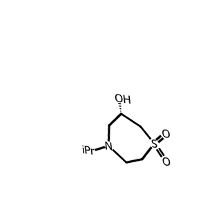 CC(C)N1CCS(=O)(=O)C[C@@H](O)C1